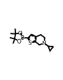 CC1(C)OB(c2cc3c(s2)CN(C2CC2)CC3)OC1(C)C